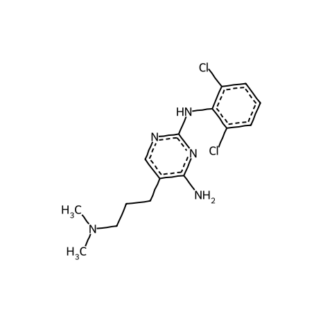 CN(C)CCCc1cnc(Nc2c(Cl)cccc2Cl)nc1N